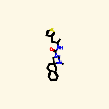 CC(Cc1ccsc1)NC(=O)NCC1(N(C)C)CCc2ccccc2C1